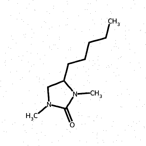 CCCCCC1CN(C)C(=O)N1C